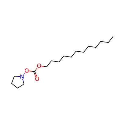 CCCCCCCCCCCCOC(=O)ON1CCCC1